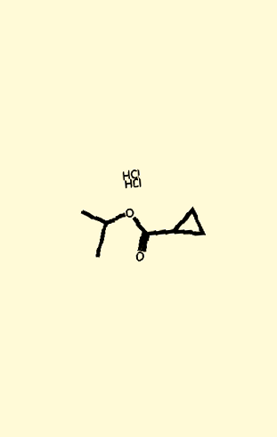 CC(C)OC(=O)C1CC1.Cl.Cl